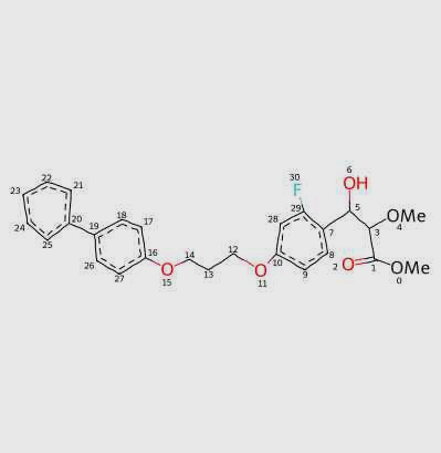 COC(=O)C(OC)C(O)c1ccc(OCCCOc2ccc(-c3ccccc3)cc2)cc1F